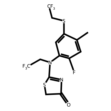 Cc1cc(F)c(N(CC(F)(F)F)C2=NC(=O)CS2)cc1SCC(F)(F)F